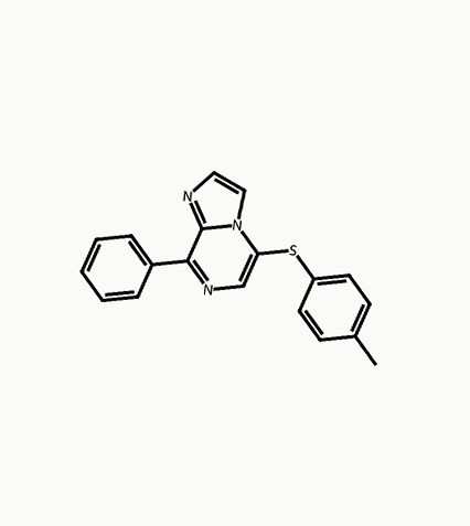 Cc1ccc(Sc2cnc(-c3ccccc3)c3nccn23)cc1